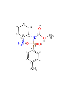 Cc1ccc(S(=O)(=O)N(C(=O)OC(C)(C)C)[C@H]2CCCC[C@@H]2N)cc1